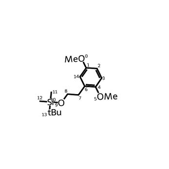 COc1ccc(OC)c(CCO[Si](C)(C)C(C)(C)C)c1